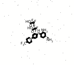 NC[C@@H]1CCC(Nc2ccc(N3CCC(C(F)(F)F)CC3)cc2)[C@@H](N)C1.O=C(O)C(F)(F)F.O=C(O)C(F)(F)F